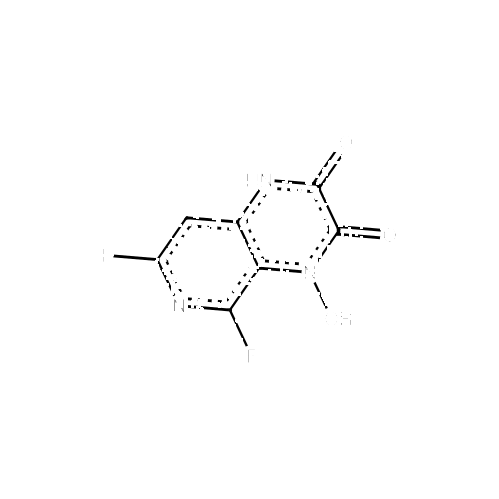 O=c1[nH]c2cc(F)nc(F)c2n(O)c1=O